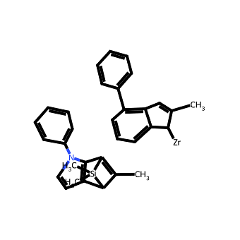 CC1=C2c3c(ccn3-c3ccccc3)C1[Si]2(C)C.CC1=Cc2c(-c3ccccc3)cccc2[CH]1[Zr]